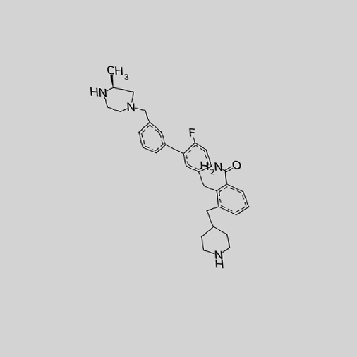 C[C@H]1CN(Cc2cccc(-c3cc(Cc4c(CC5CCNCC5)cccc4C(N)=O)ccc3F)c2)CCN1